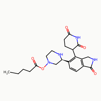 CCCCC(=O)ON1CCN[C@@H](c2ccc3c(c2C2CCC(=O)NC2=O)CNC3=O)C1